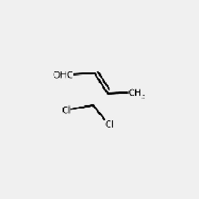 C/C=C/C=O.ClCCl